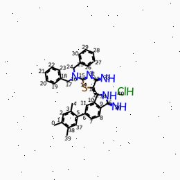 Cc1cc(C)c(-c2ccc3c(c2)/C(=C2\SC(N(Cc4ccccc4)Cc4ccccc4)=NC2=N)NC3=N)cc1C.Cl